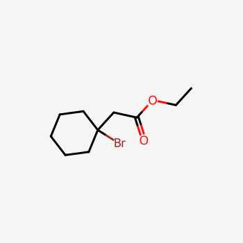 CCOC(=O)CC1(Br)CCCCC1